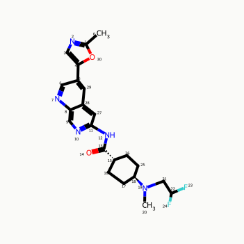 Cc1ncc(-c2cnc3cnc(NC(=O)[C@H]4CC[C@H](N(C)CC(F)F)CC4)cc3c2)o1